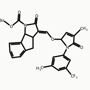 CC1=CC(O/C=C2/C(=O)N(C(=O)OC(C)(C)C)C3c4ccccc4CC23)N(c2cc(C)cc(C(F)(F)F)c2)C1=O